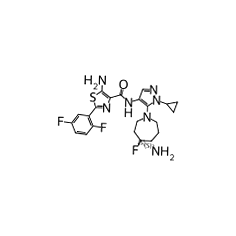 Nc1sc(-c2cc(F)ccc2F)nc1C(=O)Nc1cnn(C2CC2)c1N1CC[C@H](N)[C@@H](F)CC1